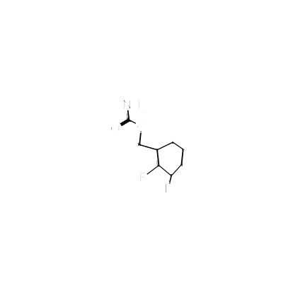 NC(=O)OCC1CCCC(F)C1F